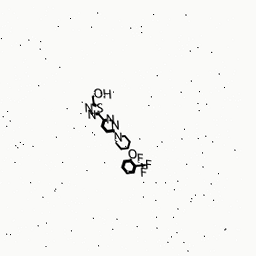 OCc1nnc(-c2ccc(N3CCC(Oc4ccccc4C(F)(F)F)CC3)nn2)s1